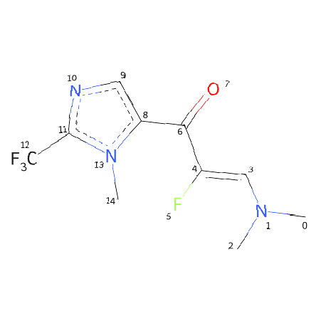 CN(C)C=C(F)C(=O)c1cnc(C(F)(F)F)n1C